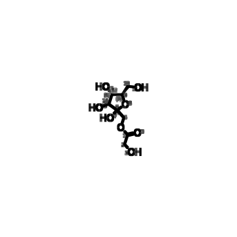 O=C(CO)OC[C@@]1(O)O[C@H](CO)[C@@H](O)[C@@H]1O